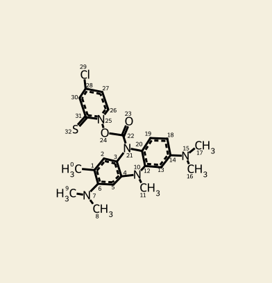 Cc1cc2c(cc1N(C)C)N(C)c1cc(N(C)C)ccc1N2C(=O)On1ccc(Cl)cc1=S